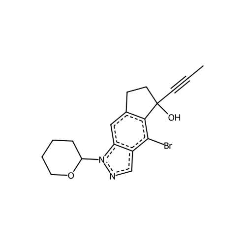 CC#CC1(O)CCc2cc3c(cnn3C3CCCCO3)c(Br)c21